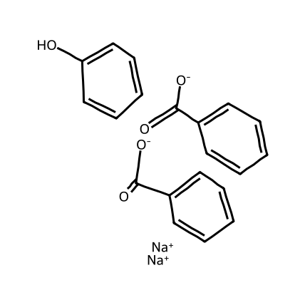 O=C([O-])c1ccccc1.O=C([O-])c1ccccc1.Oc1ccccc1.[Na+].[Na+]